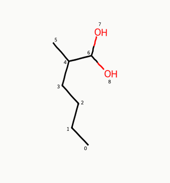 CCCCC(C)C(O)O